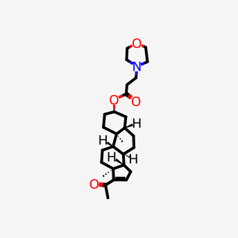 CC(=O)C1=CC[C@H]2[C@@H]3CC[C@H]4C[C@H](OC(=O)CCN5CCOCC5)CC[C@]4(C)[C@H]3CC[C@]12C